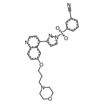 N#Cc1cccc(S(=O)(=O)n2ccc(-c3ccnc4ccc(OCCCN5CCOCC5)cc34)n2)c1